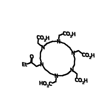 CCC(=O)CN1CCN(CC(=O)O)CCN(CC(=O)O)CCN(CC(=O)O)CCN(CC(=O)O)CCN(CC(=O)O)CC1